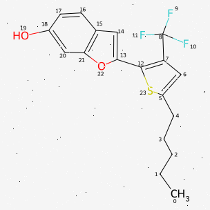 CCCCCc1cc(C(F)(F)F)c(-c2cc3ccc(O)cc3o2)s1